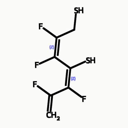 C=C(F)/C(F)=C(S)\C(F)=C(\F)CS